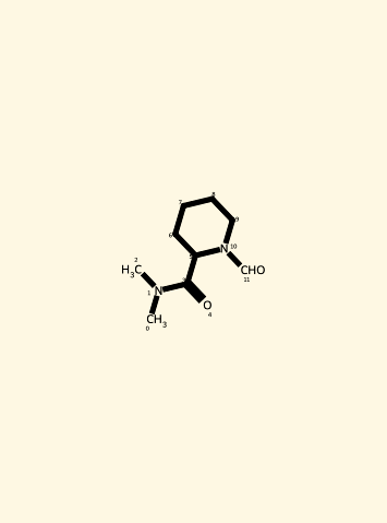 CN(C)C(=O)C1CCCCN1C=O